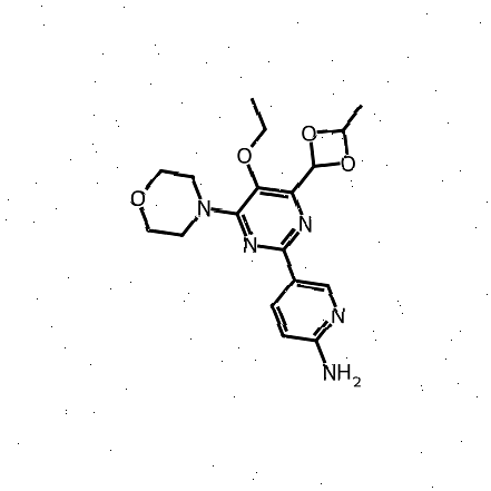 CCOc1c(C2OC(C)O2)nc(-c2ccc(N)nc2)nc1N1CCOCC1